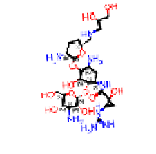 N=C(N)NC1CC1(O)C(=O)N[C@@H]1C[C@H](N)C(O[C@H]2O[C@H](CNCC(O)CO)CC[C@H]2N)[C@H](O)[C@H]1O[C@H]1O[C@H](CO)[C@@H](O)[C@H](N)[C@H]1O